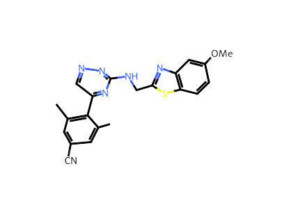 COc1ccc2sc(CNc3nncc(-c4c(C)cc(C#N)cc4C)n3)nc2c1